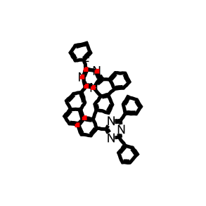 Fc1ccc(-c2cc(-c3ccccc3-c3nc(-c4ccccc4)nc(-c4ccccc4)n3)ccc2-c2ccccc2-c2nc(-c3ccccc3)nc(-c3ccc4ccccc4c3)n2)cc1